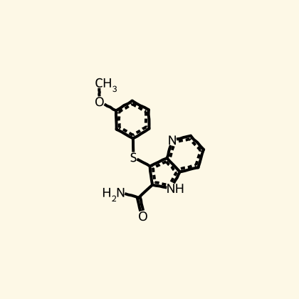 COc1cccc(Sc2c(C(N)=O)[nH]c3cccnc23)c1